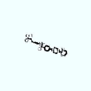 O=C(O)CCC#CNC(=O)c1ccc(N2CCN(c3ncccn3)CC2)cc1